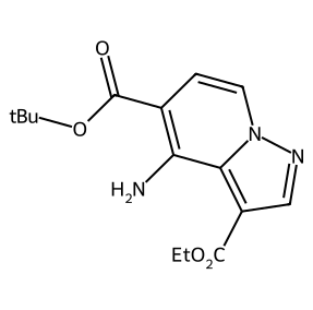 CCOC(=O)c1cnn2ccc(C(=O)OC(C)(C)C)c(N)c12